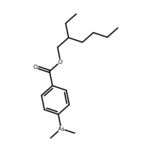 CCCCC(CC)COC(=O)c1ccc([As](C)C)cc1